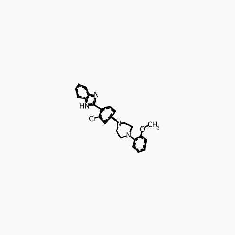 COc1ccccc1N1CCN(c2ccc(-c3nc4ccccc4[nH]3)c(Cl)c2)CC1